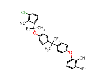 CCC(C)(Oc1ccc(C(c2ccc(Oc3cccc(C(C)C)c3C#N)cc2)(C(F)(F)F)C(F)(F)F)cc1)c1cccc(Cl)c1C#N